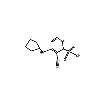 N#CC1=C(NC2CCCC2)C=CNC1S(=O)(=O)O